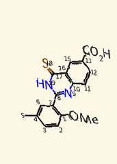 COc1ccc(C)cc1-c1nc2ccc(C(=O)O)cc2c(=S)[nH]1